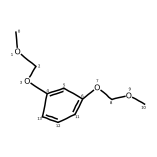 COCOc1[c]c(OCOC)ccc1